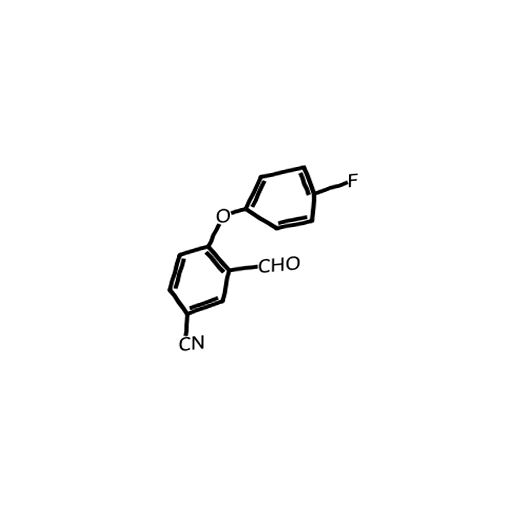 N#Cc1ccc(Oc2ccc(F)cc2)c(C=O)c1